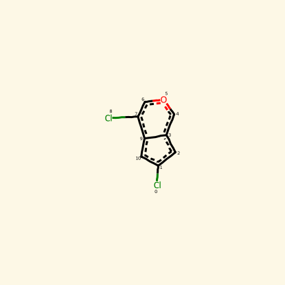 Clc1cc2cocc(Cl)c-2c1